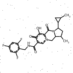 CC1CC1C1CC(C)C2Cn3cc(C(=O)NCc4c(F)cc(F)cc4F)c(=O)c(O)c3C(=O)N21